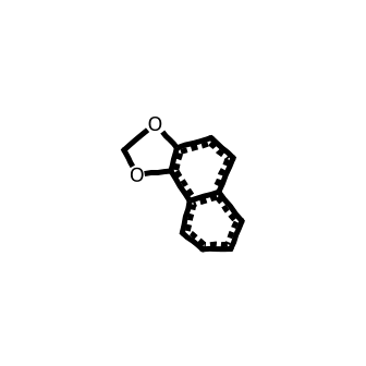 c1ccc2c3c(ccc2c1)OCO3